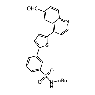 CCCCNS(=O)(=O)c1cccc(-c2ccc(-c3ccnc4ccc(C=O)cc34)s2)c1